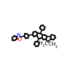 CC1(C)c2ccccc2-c2cc3c(-c4ccccc4)c4ccc(-c5ccc(-c6nc7ccccc7o6)cc5)cc4c(-c4ccccc4)c3cc21